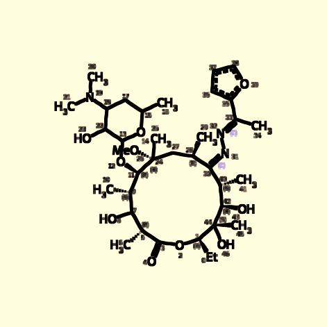 CC[C@H]1OC(=O)[C@H](C)C(O)[C@H](C)[C@@H](OC2OC(C)CC(N(C)C)C2O)[C@](C)(OC)C[C@@H](C)/C(=N\N=C(/C)c2ccco2)[C@H](C)[C@@H](O)[C@]1(C)O